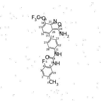 Cc1ccc(F)c(NC(=O)Nc2ccc(-c3ccc(OC(F)(F)F)c4noc(N)c34)cc2)c1